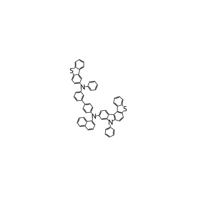 c1ccc(N(c2cccc(-c3ccc(N(c4ccc5c6c7c(ccc6n(-c6ccccc6)c5c4)sc4ccccc47)c4cccc5ccccc45)cc3)c2)c2ccc3sc4ccccc4c3c2)cc1